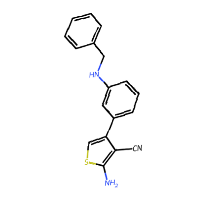 N#Cc1c(-c2cccc(NCc3ccccc3)c2)csc1N